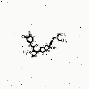 CCN(CC)CC#CC1(O)CC2CC(c3ncn(C)c3C(=O)Nc3ccc(F)c(Cl)c3)CC2C1